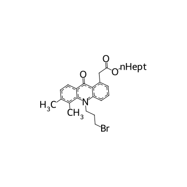 CCCCCCCOC(=O)Cc1cccc2c1c(=O)c1ccc(C)c(C)c1n2CCCBr